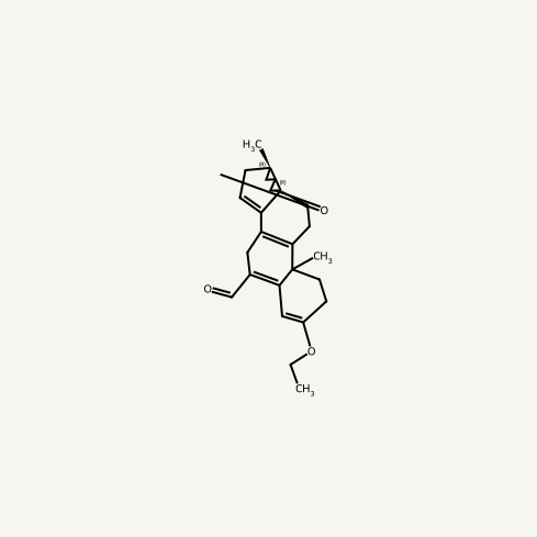 CCOC1=CC2=C(C=O)CC3=C(CC[C@@]45C(=O)CC[C@]4(C)CC=C35)C2(C)CC1